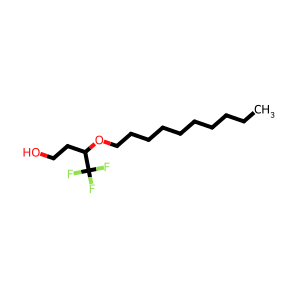 CCCCCCCCCCOC(CCO)C(F)(F)F